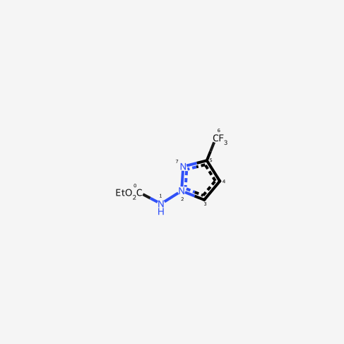 CCOC(=O)Nn1ccc(C(F)(F)F)n1